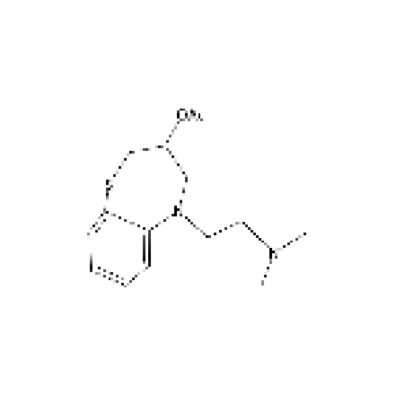 CC(=O)OC1CSc2ccccc2N(CCN(C)C)C1